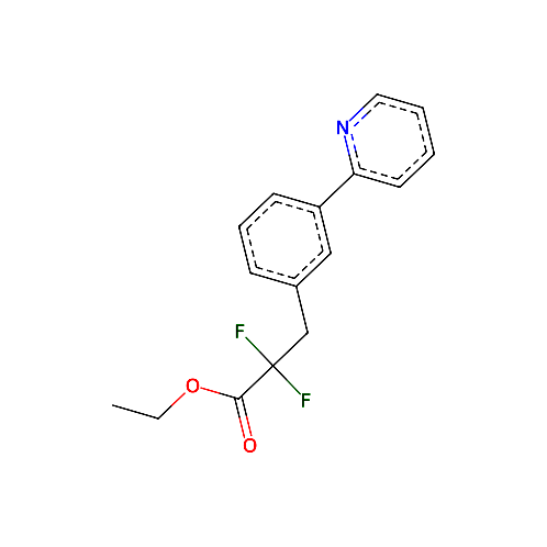 CCOC(=O)C(F)(F)Cc1cccc(-c2ccccn2)c1